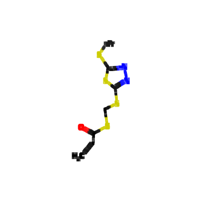 C=CC(=O)SCSc1nnc(SCCC)s1